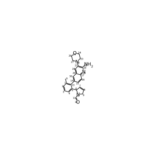 Cc1cccc(C2C=CCN2C=O)c1-c1ccc2nc(N)c(N3CCOCC3)cc2c1